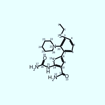 CCSc1cccc(-c2cc(C(N)=O)c(NC(N)=O)s2)c1N1CCCCC1